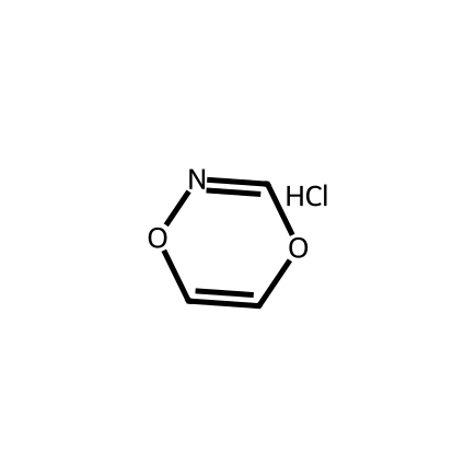 C1=CON=CO1.Cl